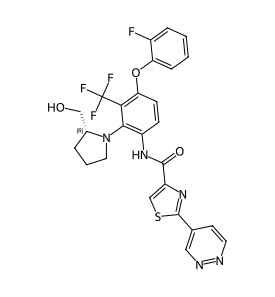 O=C(Nc1ccc(Oc2ccccc2F)c(C(F)(F)F)c1N1CCC[C@@H]1CO)c1csc(-c2ccnnc2)n1